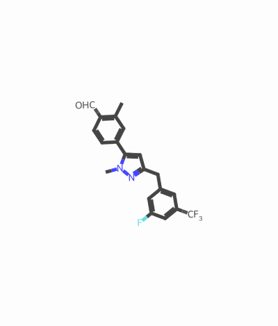 Cc1cc(-c2cc(Cc3cc(F)cc(C(F)(F)F)c3)nn2C)ccc1C=O